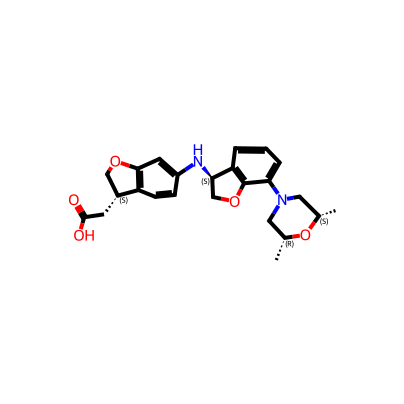 C[C@@H]1CN(c2cccc3c2OC[C@H]3Nc2ccc3c(c2)OC[C@H]3CC(=O)O)C[C@H](C)O1